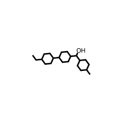 CCC1CCC(C2CCC(C(O)C3CCC(C)CC3)CC2)CC1